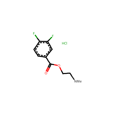 CNCCOC(=O)c1ccc(F)c(F)c1.Cl